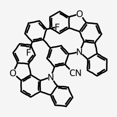 N#Cc1c(-n2c3ccccc3c3ccc4oc5ccccc5c4c32)cc(-c2c(F)cccc2F)cc1-n1c2ccccc2c2ccc3oc4ccccc4c3c21